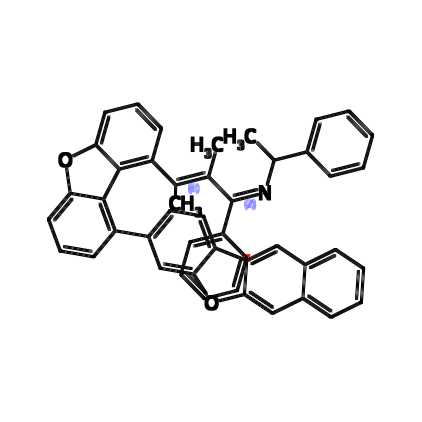 CC(/C(=N\C(C)c1ccccc1)c1ccccc1)=C(/C)c1cccc2oc3cccc(-c4ccc5c(c4)oc4cc6ccccc6cc45)c3c12